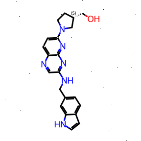 OC[C@H]1CCN(c2ccc3ncc(NCc4ccc5cc[nH]c5c4)nc3n2)C1